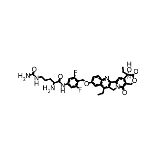 CCc1c2c(nc3ccc(OCc4c(F)cc(NC(=O)C(N)CCCNC(N)=O)cc4F)cc13)-c1cc3c(c(=O)n1C2)COC(=O)[C@]3(O)CC